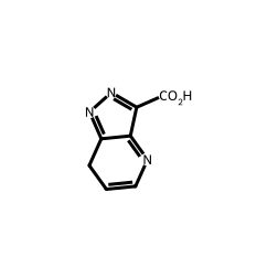 O=C(O)C1=NN=C2CC=CN=C21